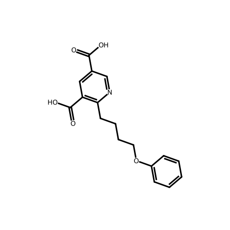 O=C(O)c1cnc(CCCCOc2ccccc2)c(C(=O)O)c1